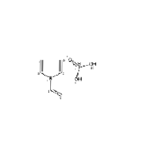 C=CN(C=C)C=C.O=[PH](O)O